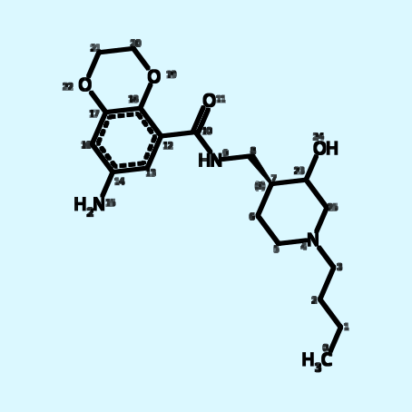 CCCCN1CC[C@@H](CNC(=O)c2cc(N)cc3c2OCCO3)C(O)C1